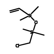 C=C[Si](C)(C)O[Si](C)(C)CCl